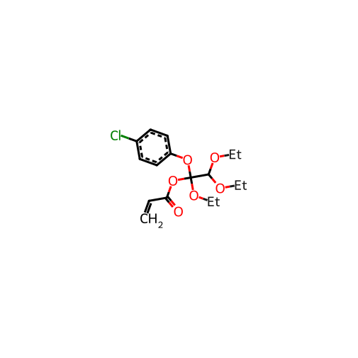 C=CC(=O)OC(OCC)(Oc1ccc(Cl)cc1)C(OCC)OCC